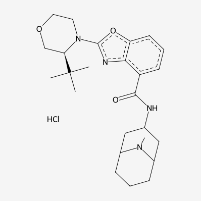 CN1C2CCCC1CC(NC(=O)c1cccc3oc(N4CCOC[C@@H]4C(C)(C)C)nc13)C2.Cl